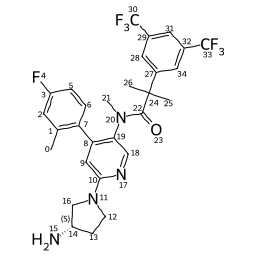 Cc1cc(F)ccc1-c1cc(N2CC[C@H](N)C2)ncc1N(C)C(=O)C(C)(C)c1cc(C(F)(F)F)cc(C(F)(F)F)c1